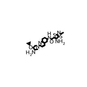 Cc1nc2sc(C(=O)NC3CCc4nc(N5CC(N)C(OC6CC6)C5)ccc4C3)c(N)c2s1